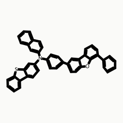 c1ccc(-c2cccc3c2oc2ccc(-c4ccc(N(c5ccc6ccccc6c5)c5ccc6c(c5)sc5ccccc56)cc4)cc23)cc1